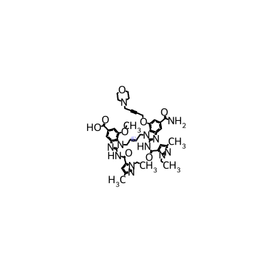 CCn1nc(C)cc1C(=O)Nc1nc2cc(C(=O)O)cc(OC)c2n1C/C=C/Cn1c(NC(=O)c2cc(C)nn2CC)nc2cc(C(N)=O)cc(OCC#CCN3CCOCC3)c21